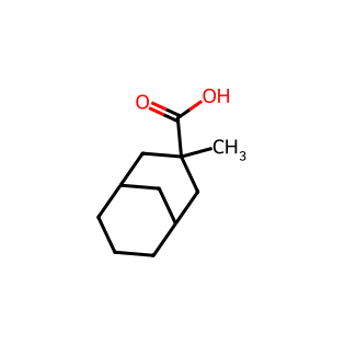 CC1(C(=O)O)CC2CCCC(C2)C1